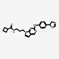 O=C(NCCCn1ccc2cnc(Nc3ccc(C4CN=CO4)cc3)nc21)C1CCC1